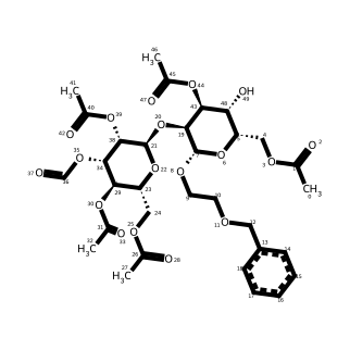 CC(=O)OC[C@@H]1O[C@H](OCCOCc2ccccc2)[C@@H](O[C@H]2O[C@H](COC(C)=O)[C@@H](OC(C)=O)[C@H](OC=O)[C@@H]2OC(C)=O)[C@@H](OC(C)=O)[C@@H]1O